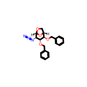 [N-]=[N+]=N[C@@H]1[C@@H]2OC[C@@H](O2)[C@@H](OCc2ccccc2)[C@@H]1OCc1ccccc1